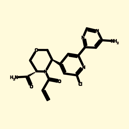 C=CC(=O)N1[C@H](C(N)=O)COC[C@H]1c1cc(Cl)nc(-c2cc(N)ncn2)c1